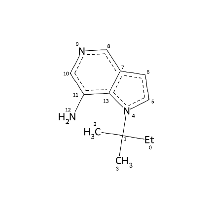 CCC(C)(C)n1ccc2cncc(N)c21